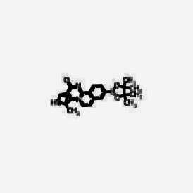 CC12CC(N1)c1c2n2ccc3cc(B4OC(C)(C)C(C)(C)O4)ccc3c2nc1=O